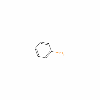 [PH3]c1ccccc1